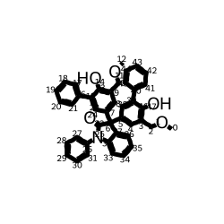 COCc1cc(C2(c3cc(COC)c(O)c(-c4ccccc4)c3)C(=O)N(c3ccccc3)c3ccccc32)cc(-c2ccccc2)c1O